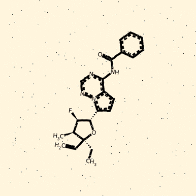 C=C[C@]1(CC)O[C@@H](c2ccc3c(NC(=O)c4ccccc4)ncnn23)[C@H](F)[C@@H]1C